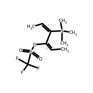 C/C=C(OS(=O)(=O)C(F)(F)F)\C(=C/C)S(C)(C)C